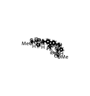 CC[C@H](C)[C@H](NC(=O)OC)C(=O)N1CCC[C@H]1c1ncc(-c2ccc3c(c2)C2(CC(F)(F)C2)c2cc(-c4cnc([C@@H]5CCCN5C(=O)[C@@H](NC(=O)OC)[C@@H](C)CC)[nH]4)ccc2-3)[nH]1